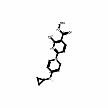 CC(C)(C)OC(=O)c1ccc(N2C=CC(OC3CC3)=CC2)nc1Cl